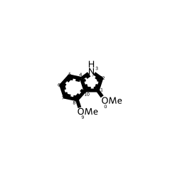 COc1[c][nH]c2cccc(OC)c12